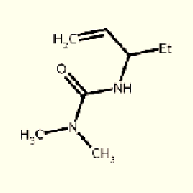 C=CC(CC)NC(=O)N(C)C